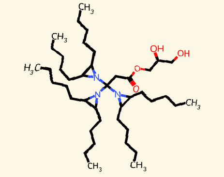 CCCCCC1C(CCCCC)N1C(CC(=O)OCC(O)CO)(N1C(CCCCC)C1CCCCC)N1C(CCCCC)C1CCCCC